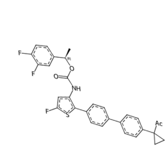 CC(=O)C1(c2ccc(-c3ccc(-c4sc(F)cc4NC(=O)O[C@H](C)c4ccc(F)c(F)c4)cc3)cc2)CC1